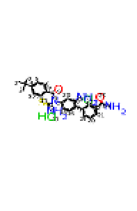 CC(C)(C)c1ccc(C(=O)N(C(N)=S)c2ccc(-c3cccc(C(N)=O)c3Cl)c(N)c2)cc1.Cl